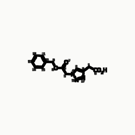 O=C(O)Cc1cn(CC(=O)OCc2ccccc2)nn1